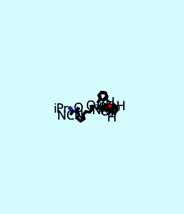 CC(C)/C=C(\C#N)C(=O)N1CCCC1CCC(=O)N[C@@H](Cc1ccccc1)B1O[C@@H]2C[C@@H]3C[C@@H](C3(C)C)[C@]2(C)O1